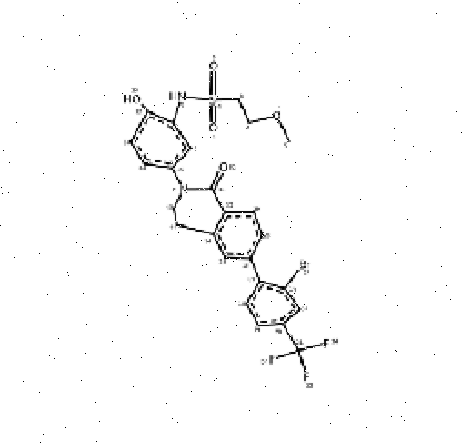 COCCS(=O)(=O)Nc1cc(N2CCc3cc(-c4ccc(C(F)(F)F)cc4Br)ccc3C2=O)ccc1O